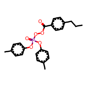 CCCc1ccc(C(=O)OOP(=O)(Oc2ccc(C)cc2)Oc2ccc(C)cc2)cc1